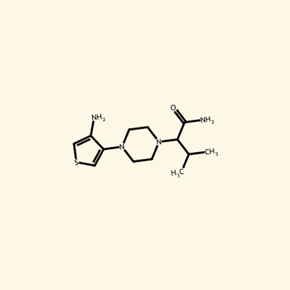 CC(C)C(C(N)=O)N1CCN(c2cscc2N)CC1